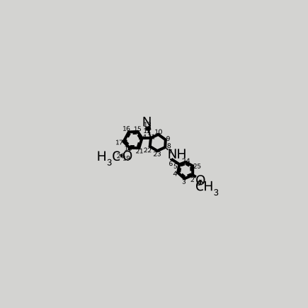 COc1ccc(CN[C@H]2CC[C@@](C#N)(c3cccc(OC)c3)CC2)cc1